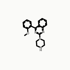 COc1ccccc1-c1nc(N2CCNCC2)nc2ccccc12